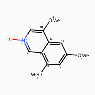 COc1cc(OC)c2c[n+]([O-])cc(OC)c2c1